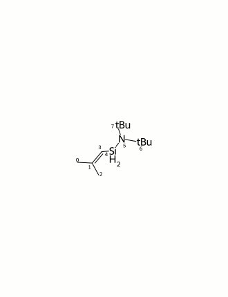 CC(C)=C[SiH2]N(C(C)(C)C)C(C)(C)C